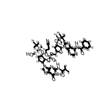 CC(C)C(=O)Nc1nc2c(ncn2[C@@H]2C[C@H](CO)[C@@H](O[Si](C)(C)C(C)(C)C)[C@H]2OP(=O)(OCCC#N)OC[C@H]2[CH][C@@H](O[Si](C)(C)C(C)(C)C)[C@H](n3cnc4c(NC(=O)c5ccccc5)ncnc43)O2)c(=O)[nH]1